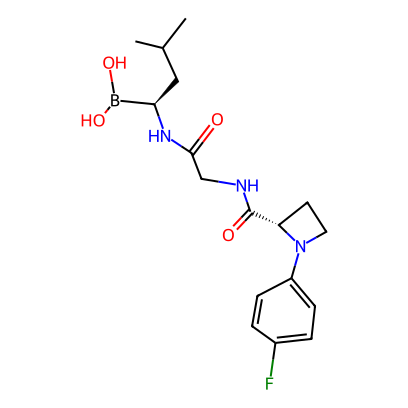 CC(C)C[C@@H](NC(=O)CNC(=O)[C@@H]1CCN1c1ccc(F)cc1)B(O)O